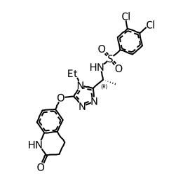 CCn1c(Oc2ccc3c(c2)CCC(=O)N3)nnc1[C@@H](C)NS(=O)(=O)c1ccc(Cl)c(Cl)c1